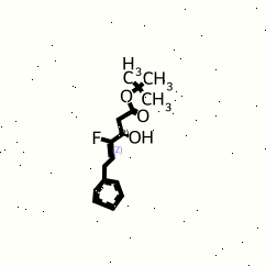 CC(C)(C)OC(=O)C[C@@H](O)/C(F)=C/Cc1ccccc1